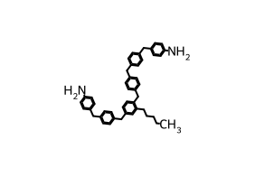 CCCCCc1cc(Cc2ccc(Cc3ccc(N)cc3)cc2)ccc1Cc1ccc(Cc2ccc(Cc3ccc(N)cc3)cc2)cc1